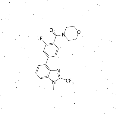 Cn1c(C(F)(F)F)nc2c(-c3ccc(C(=O)N4CCOCC4)c(F)c3)cccc21